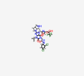 O=C(Cn1c(=O)c2c(nc(N3CCC4CNCC43)n2Cc2ncco2)n(C2CC2)c1=O)Nc1ccc(Cl)cc1Cl.O=C(O)C(F)(F)F